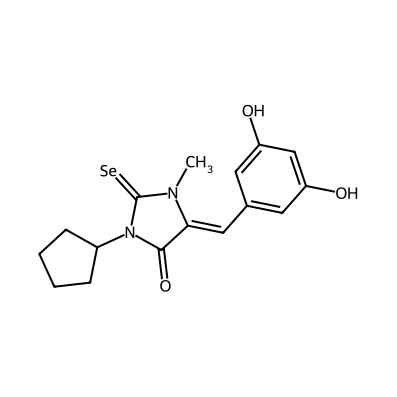 CN1C(=[Se])N(C2CCCC2)C(=O)C1=Cc1cc(O)cc(O)c1